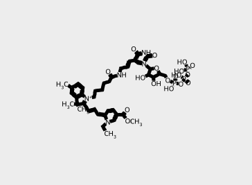 CCN1C=C(C(=O)OC)C=C/C1=C\C=C\C1=[N+](CCCCCC(=O)NC/C=C/c2cn(C3OC(COP(=O)(O)OP(=O)(O)OP(=O)(O)O)C(O)C3O)c(=O)[nH]c2=O)c2ccc(C)cc2C1(C)C